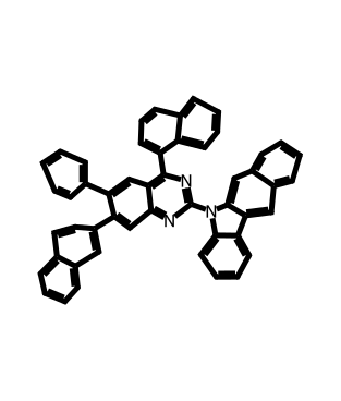 c1ccc(-c2cc3c(-c4cccc5ccccc45)nc(-n4c5ccccc5c5cc6ccccc6cc54)nc3cc2-c2ccc3ccccc3c2)cc1